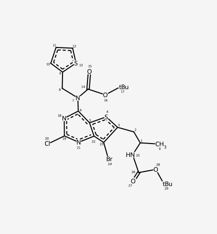 CC(Cc1sc2c(N(Cc3cccs3)C(=O)OC(C)(C)C)nc(Cl)nc2c1Br)NC(=O)OC(C)(C)C